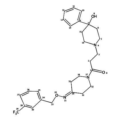 O=C(CCN1CCC(O)(c2ccccc2)CC1)N1CCC(=NOCc2cccc(C(F)(F)F)c2)CC1